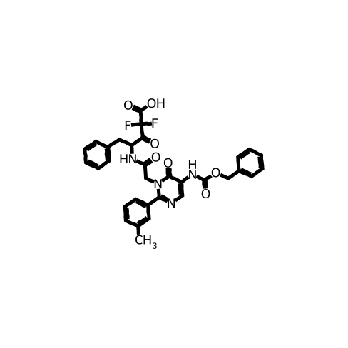 Cc1cccc(-c2ncc(NC(=O)OCc3ccccc3)c(=O)n2CC(=O)NC(Cc2ccccc2)C(=O)C(F)(F)C(=O)O)c1